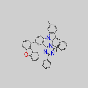 Cc1ccc2c3ccc(C)cc3n(-c3ccc(-c4cccc5oc6ccccc6c45)cc3-c3nc(-c4ccccc4)nc(-c4ccccc4)n3)c2c1